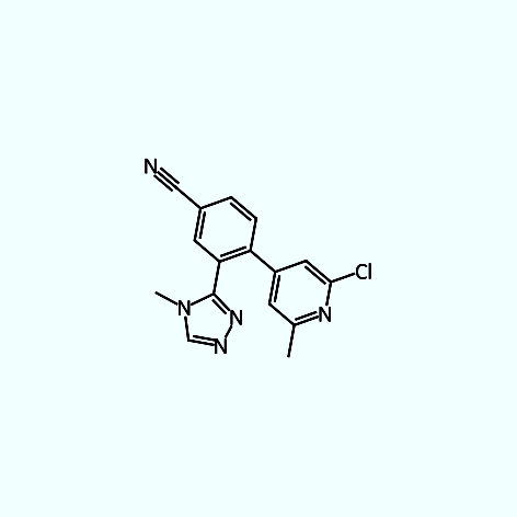 Cc1cc(-c2ccc(C#N)cc2-c2nncn2C)cc(Cl)n1